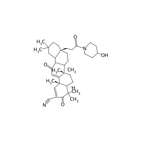 CC1(C)CC[C@]2(CCC(=O)N3CCC(O)CC3)CC[C@]3(C)C(C(=O)C=C4[C@@]5(C)C=C(C#N)C(=O)C(C)(C)[C@@H]5CC[C@]43C)C2C1